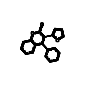 O=c1oc2ccccc2c(-c2ccccc2)c1-c1ccco1